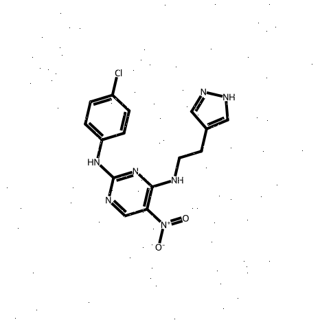 O=[N+]([O-])c1cnc(Nc2ccc(Cl)cc2)nc1NCCc1cn[nH]c1